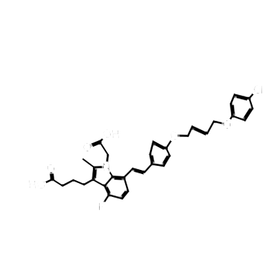 Cc1c(CCCC(=O)O)c2c(F)ccc(C=Cc3ccc(OC/C=C/COc4ccc(Cl)cc4)cc3)c2n1CC(=O)O